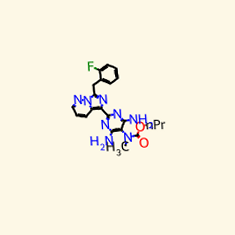 CCCOC(=O)N(C)c1c(N)nc(-c2nc(Cc3ccccc3F)n3ncccc23)nc1N